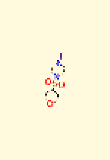 O=S(=O)(C1CCOCC1)N1CCN(I)CC1